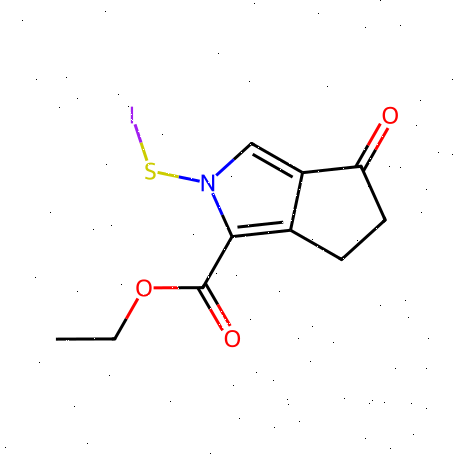 CCOC(=O)c1c2c(cn1SI)C(=O)CC2